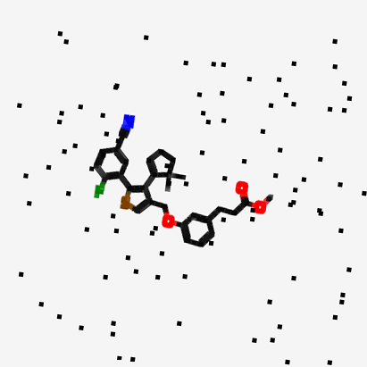 COC(=O)CCc1cccc(OCc2csc(-c3cc(C#N)ccc3F)c2C2=CCCC2(C)C)c1